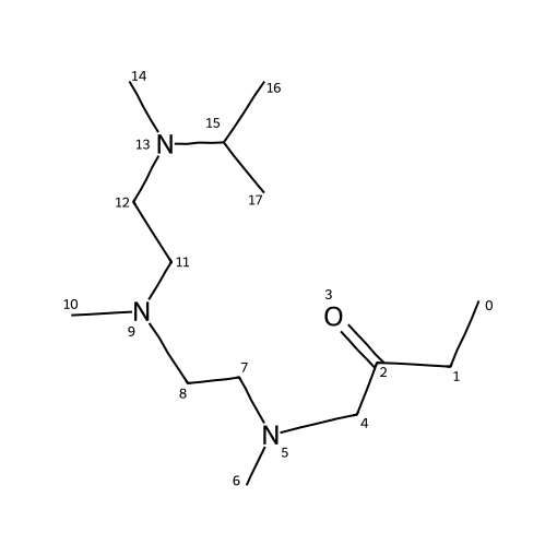 CCC(=O)CN(C)CCN(C)CCN(C)C(C)C